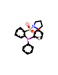 O=S(=O)(c1ccccc1P(c1ccccc1)c1ccccc1)N1CCCC1